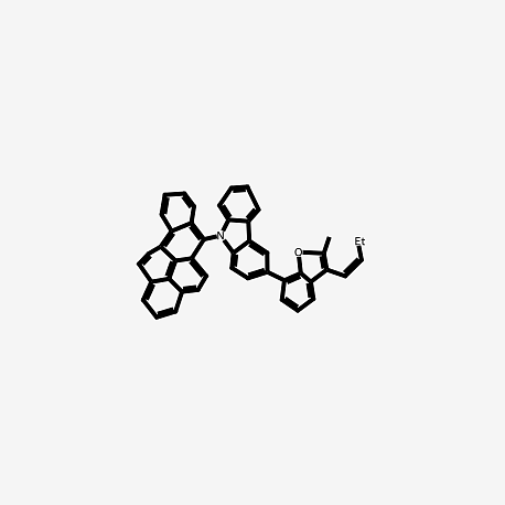 CC/C=C\c1c(C)oc2c(-c3ccc4c(c3)c3ccccc3n4-c3c4ccccc4c4ccc5cccc6ccc3c4c65)cccc12